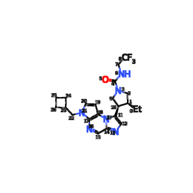 CC[C@@H]1CN(C(=O)NCC(F)(F)F)C[C@@H]1c1cnc2cnc3c(ccn3CC3CCC3)n12